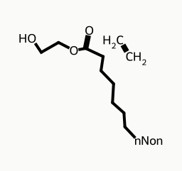 C=C.CCCCCCCCCCCCCCCC(=O)OCCO